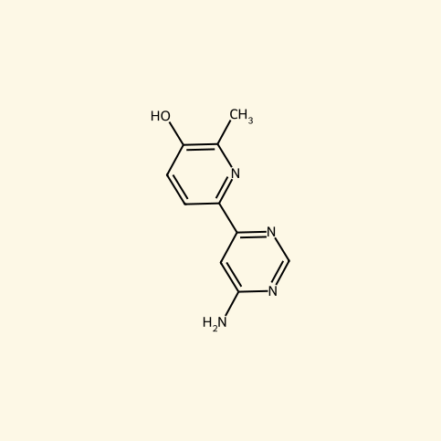 Cc1nc(-c2cc(N)ncn2)ccc1O